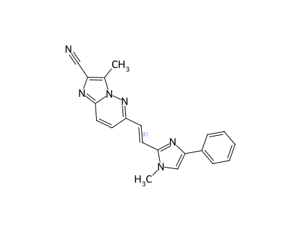 Cc1c(C#N)nc2ccc(/C=C/c3nc(-c4ccccc4)cn3C)nn12